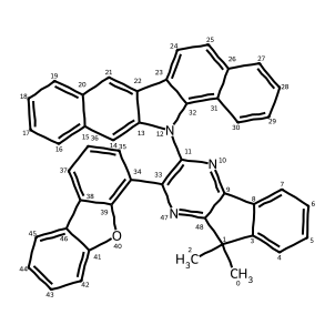 CC1(C)c2ccccc2-c2nc(-n3c4cc5ccccc5cc4c4ccc5ccccc5c43)c(-c3cccc4c3oc3ccccc34)nc21